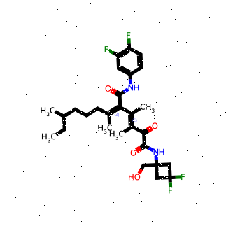 CCC(C)CCC/C(C)=C(C(=O)Nc1ccc(F)c(F)c1)/C(C)=C(\C)C(=O)C(=O)NC1(CO)CC(F)(F)C1